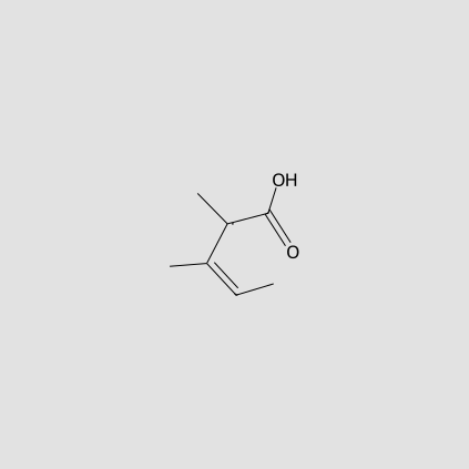 CC=C(C)[C](C)C(=O)O